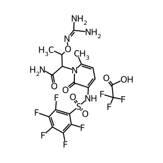 Cc1ccc(NS(=O)(=O)c2c(F)c(F)c(F)c(F)c2F)c(=O)n1C(C(N)=O)C(C)ON=C(N)N.O=C(O)C(F)(F)F